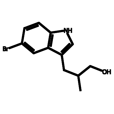 CC(CO)Cc1c[nH]c2ccc(Br)cc12